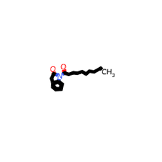 CCCCCCCCCC(=O)N1C(=O)Cc2ccccc21